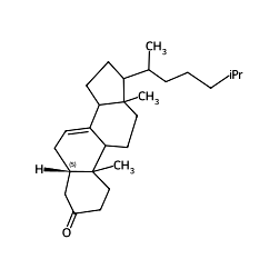 CC(C)CCCC(C)C1CCC2C3=CC[C@H]4CC(=O)CCC4(C)C3CCC21C